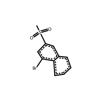 CS(=O)(=O)c1cc(Br)c2ccccc2c1